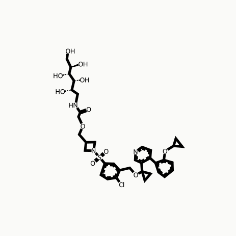 O=C(COCC1CN(S(=O)(=O)c2ccc(Cl)c(COC3(c4cnccc4-c4ccccc4OC4CC4)CC3)c2)C1)NC[C@H](O)[C@@H](O)[C@H](O)[C@H](O)CO